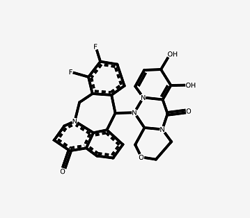 O=C1C2=C(O)C(O)C=CN2N(C2c3ccc(F)c(F)c3Cn3ccc(=O)c4cccc2c43)C2COCCN12